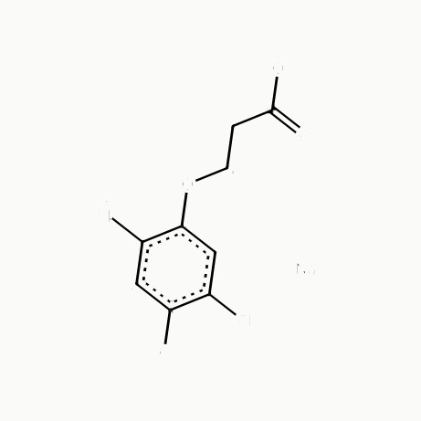 O=C([O-])CCOc1cc(Cl)c(Cl)cc1Cl.[Na+]